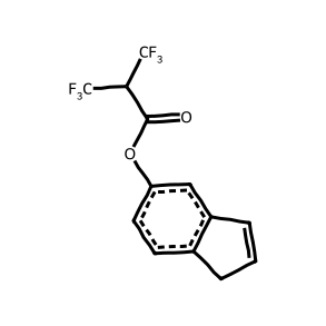 O=C(Oc1ccc2c(c1)C=CC2)C(C(F)(F)F)C(F)(F)F